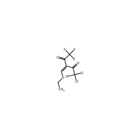 CCOC=C(C(=O)C(F)(F)F)C(=O)C(Cl)(Cl)Cl